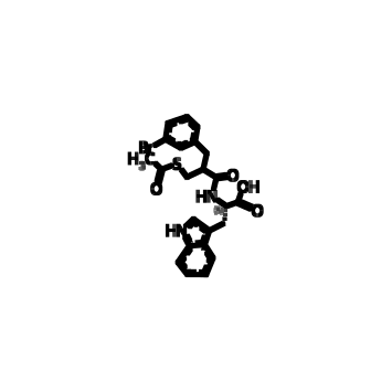 CC(=O)SCC(Cc1cccc(Br)c1)C(=O)N[C@@H](Cc1c[nH]c2ccccc12)C(=O)O